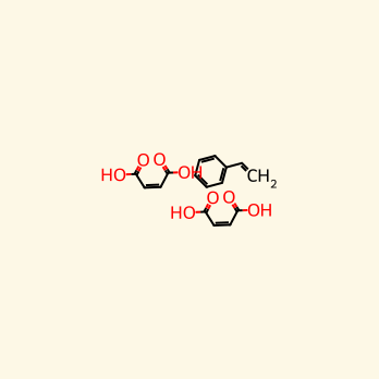 C=Cc1ccccc1.O=C(O)/C=C\C(=O)O.O=C(O)/C=C\C(=O)O